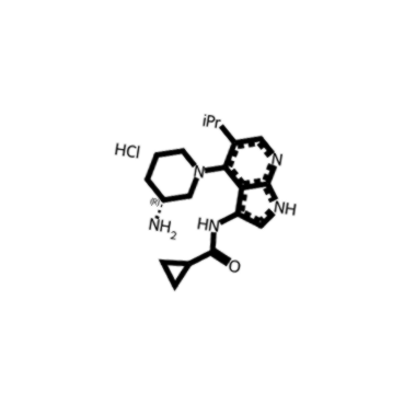 CC(C)c1cnc2[nH]cc(NC(=O)C3CC3)c2c1N1CCC[C@@H](N)C1.Cl